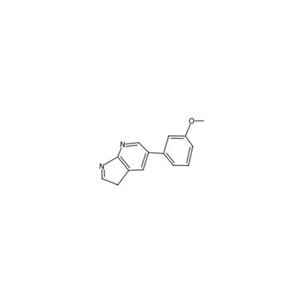 COc1cccc(-c2cnc3c(c2)CC=N3)c1